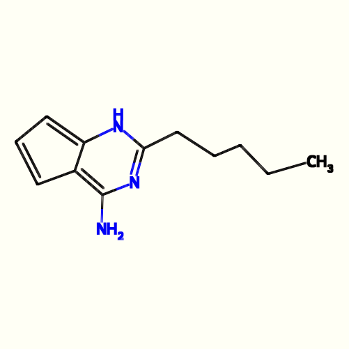 CCCCCc1nc(N)c2cccc-2[nH]1